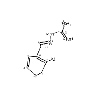 N=C(N)N/N=C/C1=C(Cl)CCC=C1